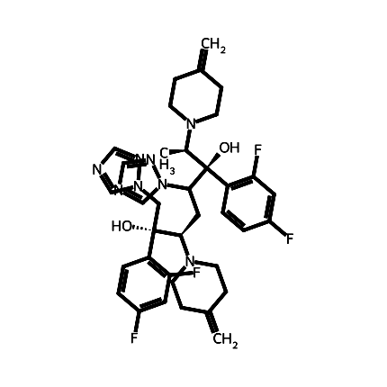 C=C1CCN([C@H](CC(n2cncn2)[C@@](O)(c2ccc(F)cc2F)[C@@H](C)N2CCC(=C)CC2)[C@](O)(Cn2cncn2)c2ccc(F)cc2F)CC1